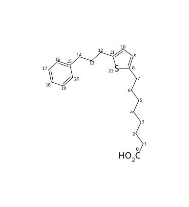 O=C(O)CCCCCCCc1ccc(CCCc2ccccc2)s1